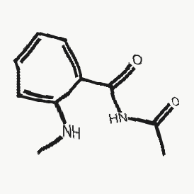 CNc1ccccc1C(=O)NC(C)=O